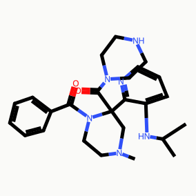 CC(C)Nc1cccnc1C1(C(=O)N2CCNCC2)CN(C)CCN1C(=O)c1ccccc1